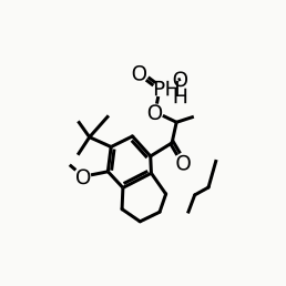 CCCC.COc1c(C(C)(C)C)cc(C(=O)C(C)O[PH](=O)O)c2c1CCCC2